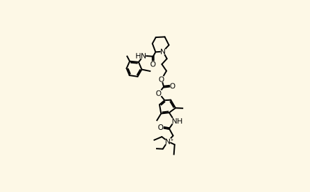 CC[N+](CC)(CC)CC(=O)Nc1c(C)cc(OC(=O)OCCCN2CCCCC2C(=O)Nc2c(C)cccc2C)cc1C